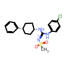 CS(=O)(=O)/N=C(\Nc1ccc(Cl)cc1)N[C@H]1CC[C@@H](c2ccccc2)CC1